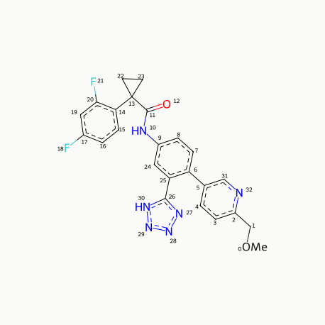 COCc1ccc(-c2ccc(NC(=O)C3(c4ccc(F)cc4F)CC3)cc2-c2nnn[nH]2)cn1